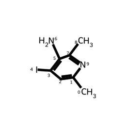 Cc1cc(I)c(N)c(C)n1